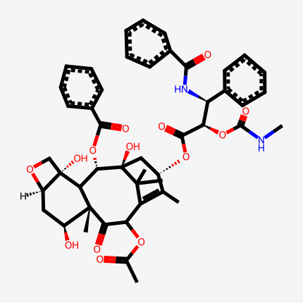 CNC(=O)O[C@@H](C(=O)O[C@H]1C[C@@]2(O)[C@@H](OC(=O)c3ccccc3)C3[C@]4(O)CO[C@@H]4C[C@H](O)[C@@]3(C)C(=O)C(OC(C)=O)C(=C1C)C2(C)C)[C@@H](NC(=O)c1ccccc1)c1ccccc1